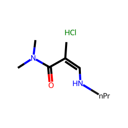 CCCNC=C(C)C(=O)N(C)C.Cl